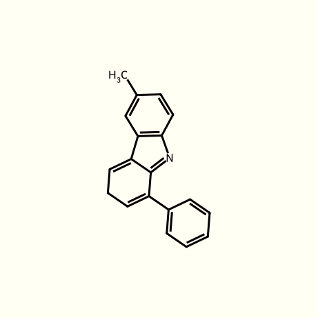 Cc1ccc2c(c1)C1=CCC=C(c3ccccc3)C1=N2